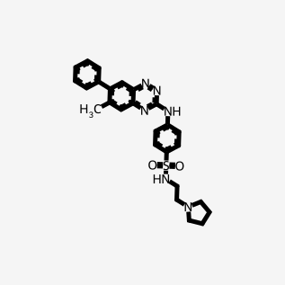 Cc1cc2nc(Nc3ccc(S(=O)(=O)NCCN4CCCC4)cc3)nnc2cc1-c1ccccc1